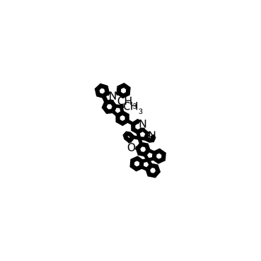 CC1(C)c2cc(-c3cnc4c(c3)C3(c5ccccc5Oc5cc6c(cc53)-c3ccccc3C63c5ccccc5-c5ccccc53)c3cccnc3-4)ccc2-c2ccc3c4ccccc4n(-c4ccccc4)c3c21